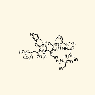 CC(C)C[C@H](NC(=O)[C@H](CC(C)C)NC(=O)[C@H](CC(C)C)NC(=O)[C@H](CC(C)C)NC(=O)[C@@H](N)CC(C)C)C(=O)N[C@@H](Cc1c[nH]cn1)C(=O)N[C@@H](CC(C(=O)O)C(=O)O)C(=O)O